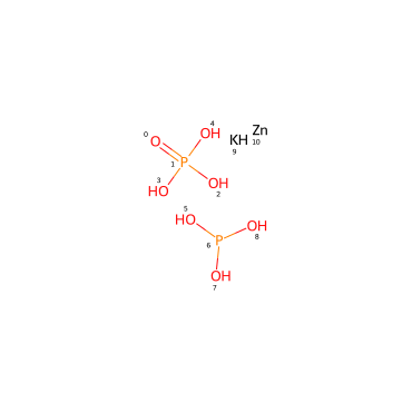 O=P(O)(O)O.OP(O)O.[KH].[Zn]